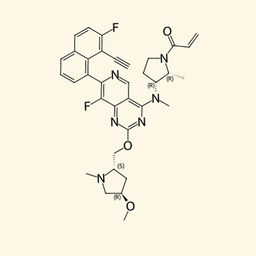 C#Cc1c(F)ccc2cccc(-c3ncc4c(N(C)[C@@H]5CCN(C(=O)C=C)[C@@H]5C)nc(OC[C@@H]5C[C@@H](OC)CN5C)nc4c3F)c12